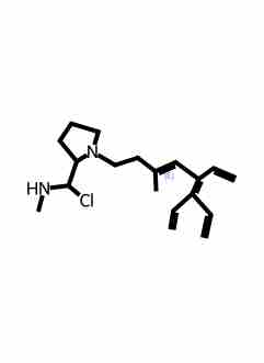 C=CC(C=C)=C(C=C)/C=C(\C)CCN1CCCC1C(Cl)NC